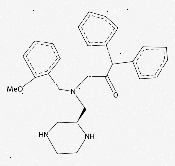 COc1ccccc1CN(CC(=O)C(c1ccccc1)c1ccccc1)C[C@@H]1CNCCN1